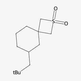 CC(C)(C)CC1CCCC2(C1)CS(=O)(=O)C2